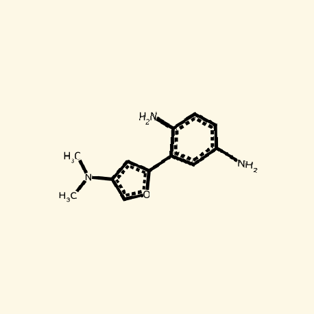 CN(C)c1coc(-c2cc(N)ccc2N)c1